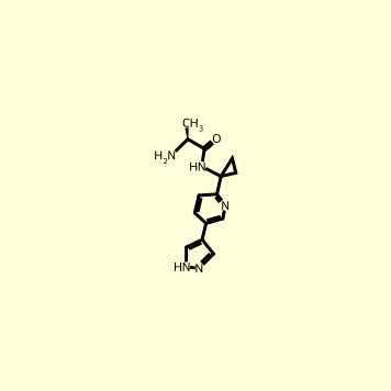 C[C@H](N)C(=O)NC1(c2ccc(-c3cn[nH]c3)cn2)CC1